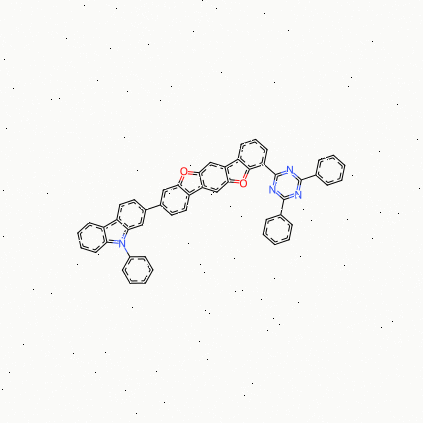 c1ccc(-c2nc(-c3ccccc3)nc(-c3cccc4c3oc3cc5c(cc34)oc3cc(-c4ccc6c7ccccc7n(-c7ccccc7)c6c4)ccc35)n2)cc1